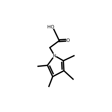 Cc1c(C)c(C)n(CC(=O)O)c1C